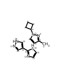 Cc1nn(C2CCC2)cc1[SH]1C=CN=C1c1cn[nH]c1